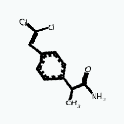 CC(C(N)=O)c1ccc(C=C(Cl)Cl)cc1